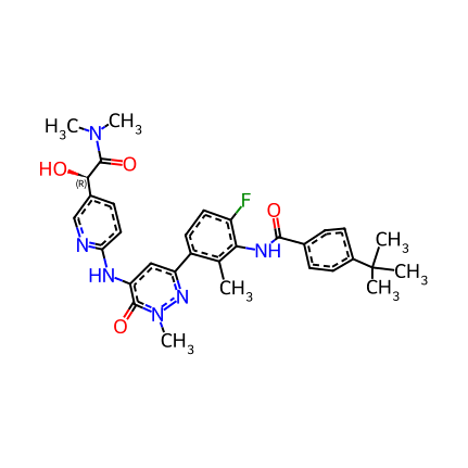 Cc1c(-c2cc(Nc3ccc([C@@H](O)C(=O)N(C)C)cn3)c(=O)n(C)n2)ccc(F)c1NC(=O)c1ccc(C(C)(C)C)cc1